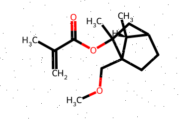 C=C(C)C(=O)OC1(C)CC2CCC1(COC)[C@@H]2C